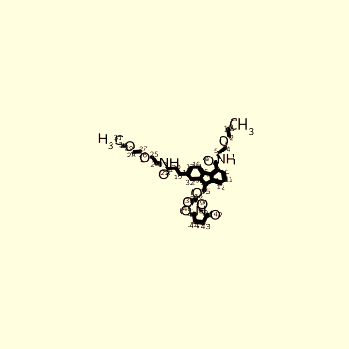 CCCOCCNC(=O)c1cccc2c1-c1ccc(CCC(=O)NCCOCCOCC)cc1C2COC(=O)ON1C(=O)CCC1=O